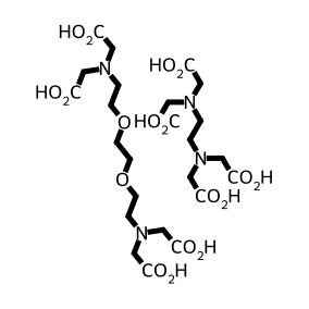 O=C(O)CN(CCN(CC(=O)O)CC(=O)O)CC(=O)O.O=C(O)CN(CCOCCOCCN(CC(=O)O)CC(=O)O)CC(=O)O